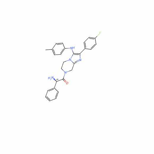 Cc1ccc(Nc2c(-c3ccc(F)cc3)nc3n2CCN(C(=O)[C@H](N)c2ccccc2)C3)cc1